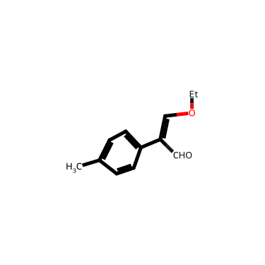 CCOC=C(C=O)c1ccc(C)cc1